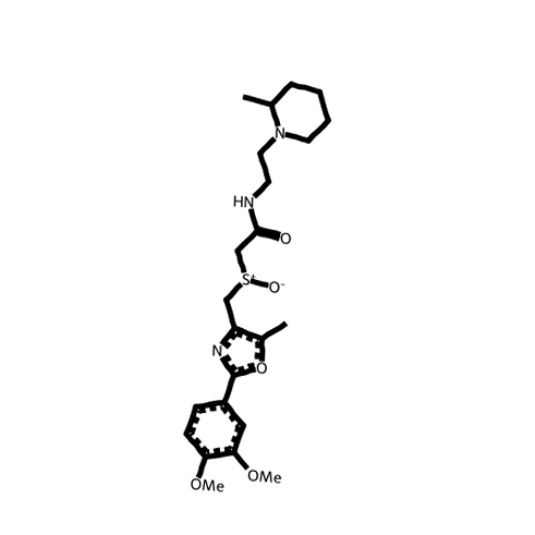 COc1ccc(-c2nc(C[S+]([O-])CC(=O)NCCN3CCCCC3C)c(C)o2)cc1OC